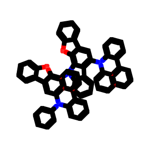 c1ccc(-c2ccccc2N(c2ccccc2)c2cc3c4ccccc4oc3c3c2c2cccc4c5c(N(c6ccccc6)c6ccccc6-c6ccccc6)cc6c7ccccc7oc6c5n3c24)cc1